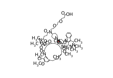 COc1cc2cc(c1Cl)N(C)C(=O)C[C@H](OC(=O)[C@H](C)N(C)C(=O)CCC(=O)N(CCOCCOCCC(=O)O)C1CCN(C(=O)CCn3c4c(c5ccccc53)C(C)N(C)N(C)C4)CC1)[C@]1(C)OC1[C@H](C)[C@@H]1C[C@@](O)(NC(=O)O1)[C@H](OC)/C=C/C=C(\C)C2